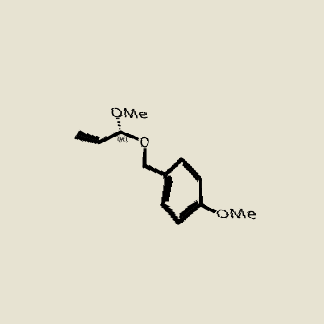 C=C[C@H](OC)OCc1ccc(OC)cc1